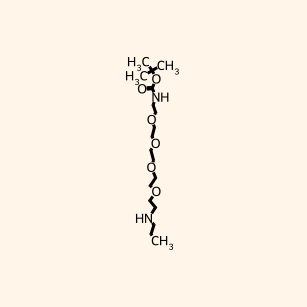 CCCNCCOCCOCCOCCOCCNC(=O)OC(C)(C)C